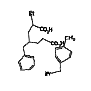 CCC(CC(CCC(=O)O)Cc1ccccc1)C(=O)O.Cc1ccc(CC(C)C)cc1